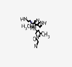 CN/C(=C\C=N)c1cnc2[nH]ccc2c1NC1CC(C)CN(C(=O)CC#N)C1